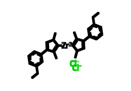 CCc1cccc(C2=CC(C)[C]([Zr+2][C]3=C(C)C(c4cccc(CC)c4)=CC3C)=C2C)c1.[Cl-].[Cl-]